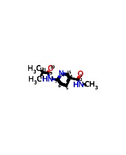 CNC(=O)c1ccc(NC(=O)C(C)C)nc1